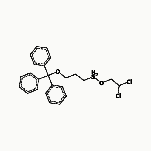 ClC(Cl)CO[SiH2]CCCOC(c1ccccc1)(c1ccccc1)c1ccccc1